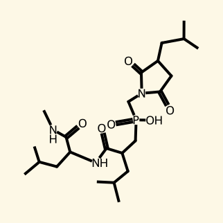 CNC(=O)C(CC(C)C)NC(=O)C(CC(C)C)CP(=O)(O)CN1C(=O)CC(CC(C)C)C1=O